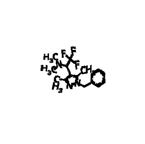 Cc1nn(Cc2ccccc2)c(C)c1C(N(C)C)C(F)(F)F